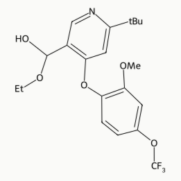 CCOC(O)c1cnc(C(C)(C)C)cc1Oc1ccc(OC(F)(F)F)cc1OC